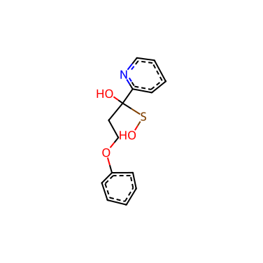 OSC(O)(CCOc1ccccc1)c1ccccn1